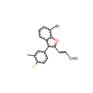 Cc1cc(-c2c(C=CC=O)oc3c(C(C)C)cccc23)ccc1F